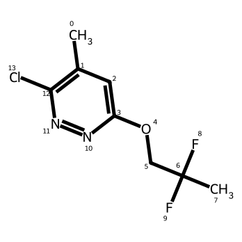 Cc1cc(OCC(C)(F)F)nnc1Cl